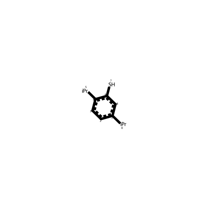 CC(C)c1ccc(C(C)C)c(S)c1